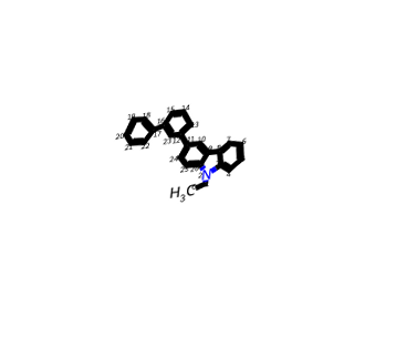 CCn1c2ccccc2c2cc(-c3cccc(-c4ccccc4)c3)ccc21